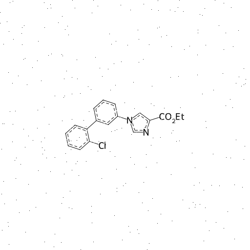 CCOC(=O)c1cn(-c2cccc(-c3ccccc3Cl)c2)cn1